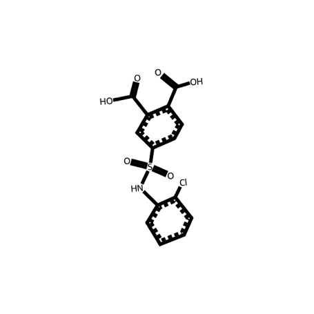 O=C(O)c1ccc(S(=O)(=O)Nc2ccccc2Cl)cc1C(=O)O